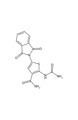 NC(=O)Nc1sc(N2C(=O)c3ccccc3C2=O)cc1C(N)=O